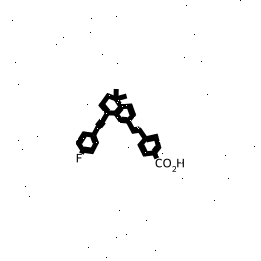 CC1(C)CC=C(C#Cc2ccc(F)cc2)c2cc(/C=C/c3ccc(C(=O)O)cc3)ccc21